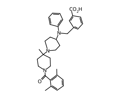 Cc1cccc(C)c1C(=O)N1CCC(C)(N2CCC(N(Cc3cccc(C(=O)O)c3)c3ccccc3)CC2)CC1